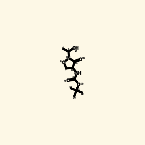 CC(O)N1OCC(NC(=O)OC(C)(C)C)C1=O